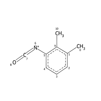 Cc1cccc([N+]=C=O)c1C